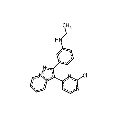 CCNc1cccc(-c2nn3ccccc3c2-c2ccnc(Cl)n2)c1